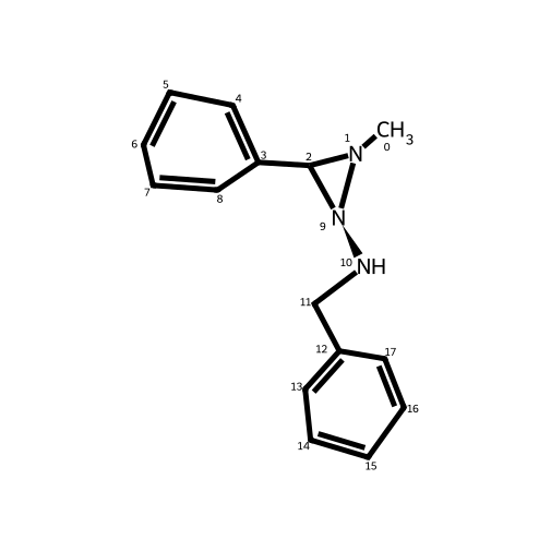 CN1C(c2ccccc2)[N@]1NCc1ccccc1